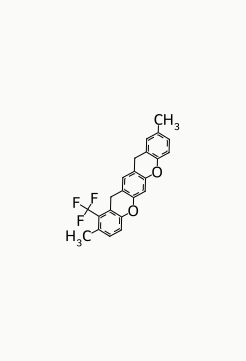 Cc1ccc2c(c1)Cc1cc3c(cc1O2)Oc1ccc(C)c(C(F)(F)F)c1C3